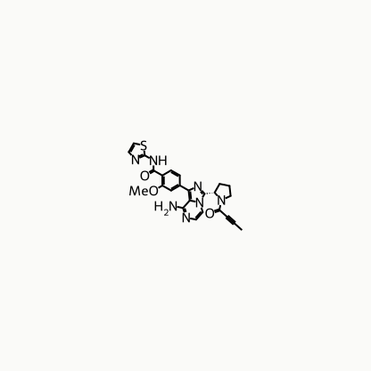 CC#CC(=O)N1CCC[C@H]1c1nc(-c2ccc(C(=O)Nc3nccs3)c(OC)c2)c2c(N)nccn12